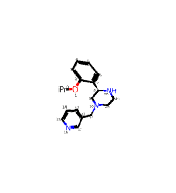 CC(C)Oc1ccccc1[C@@H]1CN(Cc2cccnc2)CCN1